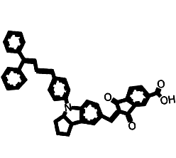 O=C(O)c1ccc2c(c1)C(=O)/C(=C/c1ccc3c(c1)C1CCCC1N3c1ccc(/C=C/C=C(c3ccccc3)c3ccccc3)cc1)C2=O